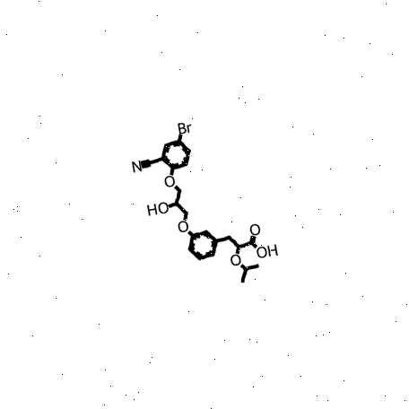 CC(C)OC(Cc1cccc(OCC(O)COc2ccc(Br)cc2C#N)c1)C(=O)O